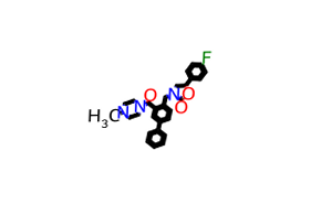 CN1CCN(C(=O)c2cc(-c3ccccc3)ccc2CN2CC(c3ccc(F)cc3)OC2=O)CC1